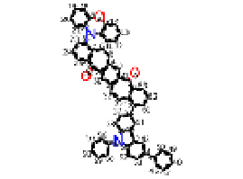 O=c1c2cc3ccc4c(N5c6ccccc6Oc6ccccc65)cccc4c(=O)c3cc2ccc2c(-c3ccc4c(c3)c3cc(-c5ccccc5)ccc3n4-c3ccccc3)cccc12